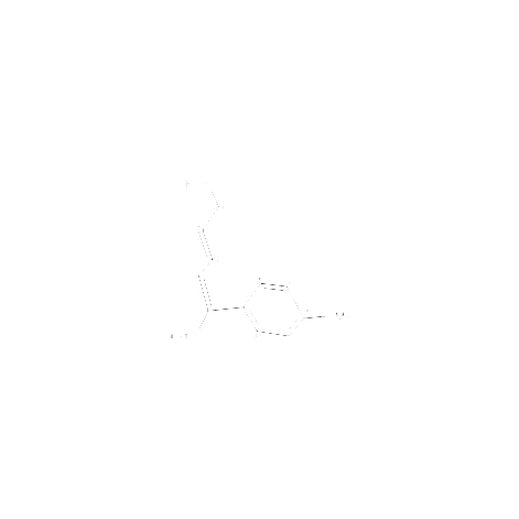 CCCCC/C(=C/C=C/CC(=O)O)c1ccc(OC)cc1